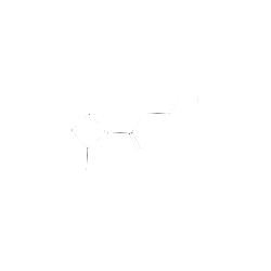 O=C(O)C1CCN1C(=O)OCC(Cl)(Cl)Cl